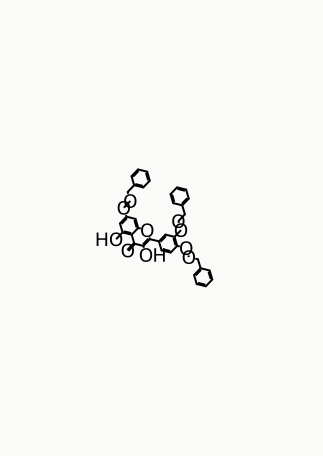 O=c1c(O)c(-c2ccc(OOCc3ccccc3)c(OOCc3ccccc3)c2)oc2cc(OOCc3ccccc3)cc(O)c12